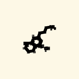 Cl.Cl.NCCCc1ccc2c(n1)NCCC2